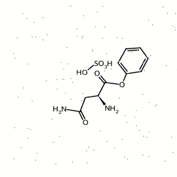 NC(=O)C[C@H](N)C(=O)Oc1ccccc1.O=S(=O)(O)O